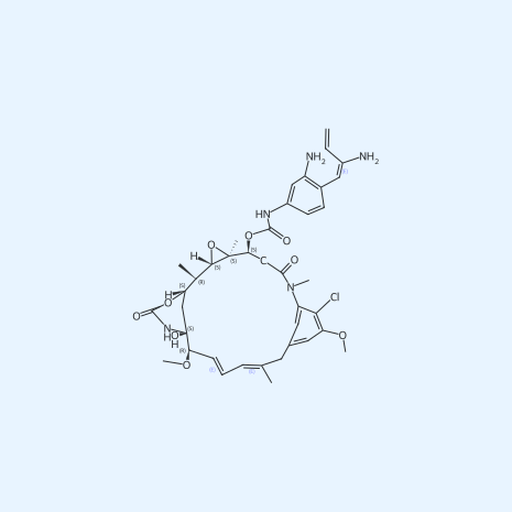 C=C/C(N)=C\c1ccc(NC(=O)O[C@H]2CC(=O)N(C)c3cc(cc(OC)c3Cl)C/C(C)=C/C=C/[C@@H](OC)[C@@]3(O)C[C@H](OC(=O)N3)[C@@H](C)[C@@H]3O[C@@]23C)cc1N